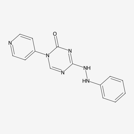 O=c1nc(NNc2ccccc2)ncn1-c1ccncc1